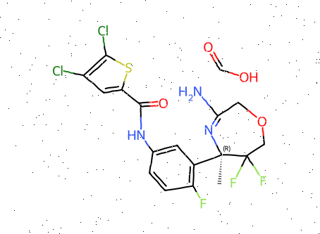 C[C@]1(c2cc(NC(=O)c3cc(Cl)c(Cl)s3)ccc2F)N=C(N)COCC1(F)F.O=CO